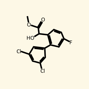 COC(=O)C(O)c1ccc(F)cc1-c1cc(Cl)cc(Cl)c1